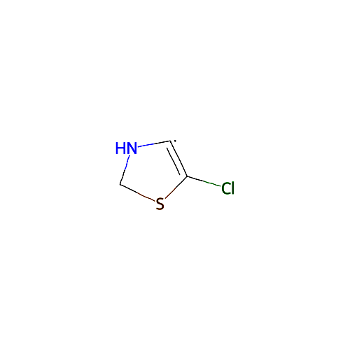 ClC1=[C]NCS1